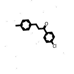 Cc1ccc(CCC(=O)c2ccc(Cl)cc2)cc1